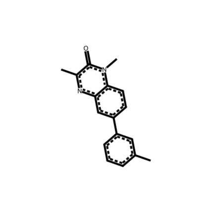 Cc1cccc(-c2ccc3c(c2)nc(C)c(=O)n3C)c1